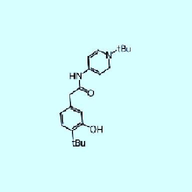 CC(C)(C)c1ccc(CC(=O)NC2=CCN(C(C)(C)C)C=C2)cc1O